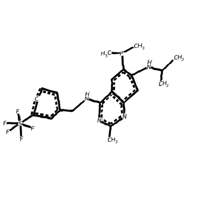 Cc1nc(NCc2cccc(S(F)(F)(F)(F)F)c2)c2cc(P(C)C)c(NC(C)C)cc2n1